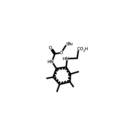 Cc1c(C)c(C)c(NC(=O)OC(C)(C)C)c(NCC(=O)O)c1C